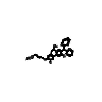 COCCCOc1cc2c(cc1Cl)-c1cc(=O)c(N(c3ncccn3)c3ncccn3)cn1C(C(C)(C)C)C2